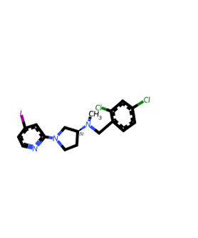 CN(Cc1ccc(Cl)cc1Cl)[C@H]1CCN(c2cc(I)ccn2)C1